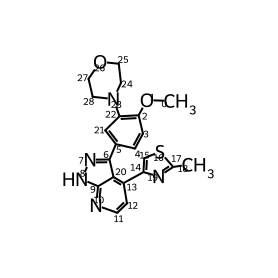 COc1ccc(-c2n[nH]c3nccc(-c4csc(C)n4)c23)cc1N1CCOCC1